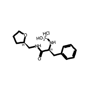 Cl.O=C(O)N[C@@H](Cc1ccccc1)C(=O)NC[C@H]1CCCO1